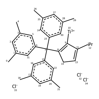 Cc1cc(C)cc(C(C2=[C]([Ti+3])C(C(C)C)=CC2)(c2cc(C)cc(C)c2)c2cc(C)cc(C)c2)c1.[Cl-].[Cl-].[Cl-]